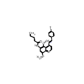 CCCCC(=O)Nc1cc(OC)c2nccc(/C=C/c3ccc(F)cc3)c2c1OC